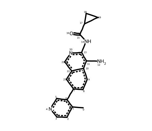 Cc1ccncc1-c1ccc2c(N)c(NC(=O)C3CC3)ncc2c1